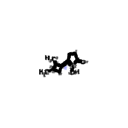 CC1/C(=C2\CCC(=O)N2O)C[C@H]1C